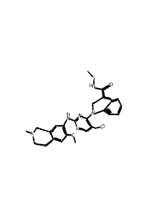 COc1cc2c(cc1Nc1ncc(Cl)c(N3CC(C(=O)NSC)c4ccccc43)n1)CN(C)CC2